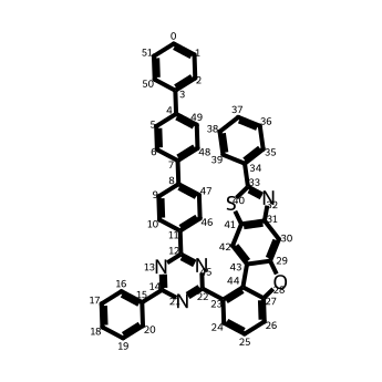 c1ccc(-c2ccc(-c3ccc(-c4nc(-c5ccccc5)nc(-c5cccc6oc7cc8nc(-c9ccccc9)sc8cc7c56)n4)cc3)cc2)cc1